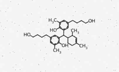 CC1=CC(C)C(C(c2cc(CCCCO)cc(C)c2O)c2cc(CCCCO)cc(C)c2O)CC1